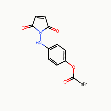 CCCC(=O)Oc1ccc(NN2C(=O)C=CC2=O)cc1